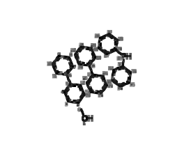 CO.c1ccc(-c2ccccc2)cc1.c1ccc(-c2ccccc2)cc1.c1ccc(Pc2ccccc2)cc1